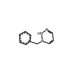 C1=CN(Cc2ccccc2)NN=C1